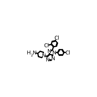 NC1CCN(c2ncnc3c2nc(-c2ccc(Cl)cc2Cl)n3-c2ccc(Cl)cc2)CC1